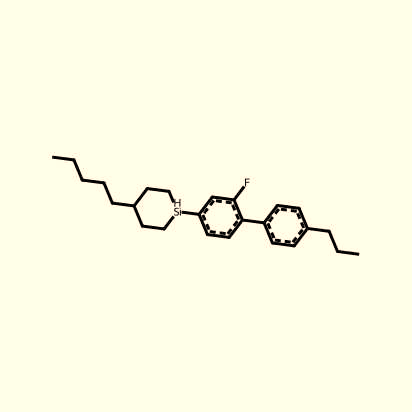 CCCCCC1CC[SiH](c2ccc(-c3ccc(CCC)cc3)c(F)c2)CC1